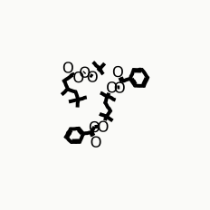 CC(C)(CCC(C)(C)OOC(=O)c1ccccc1)OOC(=O)c1ccccc1.CC(CC(=O)OOOC(C)(C)C)CC(C)(C)C